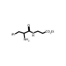 CCOC(=O)CCNC(=O)C(N)CC(C)C